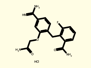 Cl.N=C(N)c1ccc(Cc2c(F)cccc2C(N)=O)c(OCC(N)=O)c1